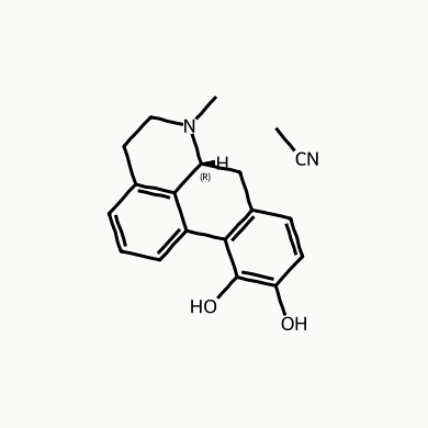 CC#N.CN1CCc2cccc3c2[C@H]1Cc1ccc(O)c(O)c1-3